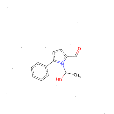 CC(O)n1c(C=O)ccc1-c1ccccc1